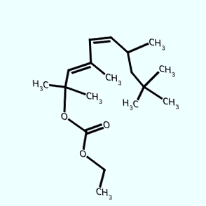 CCOC(=O)OC(C)(C)/C=C(C)/C=C\C(C)CC(C)(C)C